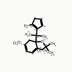 CC1=CC=CCC1(OC(C)(C)C)C(C)(C)C1=[C]([Ti+2])CC=C1.[Cl-].[Cl-]